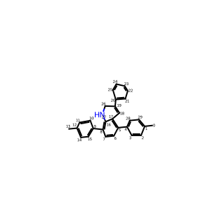 Cc1ccc(-c2ccc(-c3ccc(C)cc3)c3c2C=C(c2ccccc2)CN3)cc1